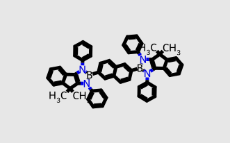 CC1(C)C2=C(c3ccccc31)N(c1ccccc1)B(c1ccc3cc(B4N(c5ccccc5)C5=C(N4c4ccccc4)C(C)(C)c4ccccc45)ccc3c1)N2c1ccccc1